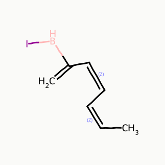 C=C(BI)/C=C\C=C/C